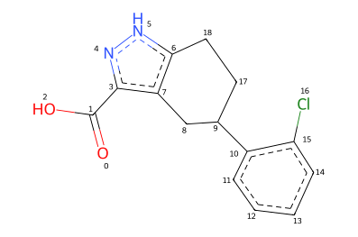 O=C(O)c1n[nH]c2c1CC(c1ccccc1Cl)CC2